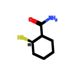 NC(=O)C1CCCC[C@H]1S